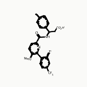 COc1ccc(C(=O)NC(CC(=O)O)c2ccc(C)cc2)nc1-c1ccc(C(F)(F)F)cc1F